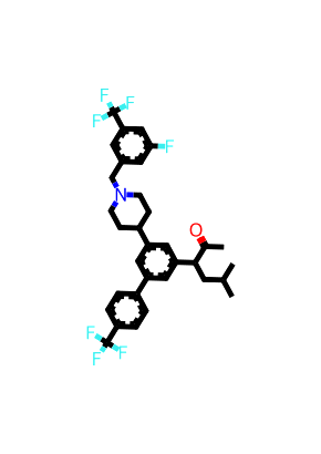 CC(=O)C(CC(C)C)c1cc(-c2ccc(C(F)(F)F)cc2)cc(C2CCN(Cc3cc(F)cc(C(F)(F)F)c3)CC2)c1